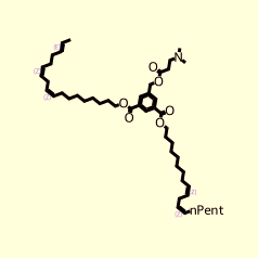 C/C=C/CC/C=C\C/C=C\CCCCCCCCOC(=O)c1cc(COC(=O)CCN(C)C)cc(C(=O)OCCCCCCCC/C=C\C/C=C\CCCCC)c1